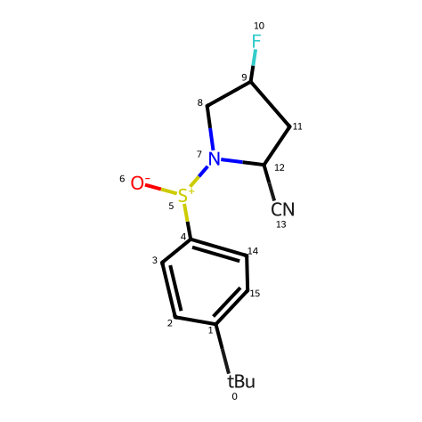 CC(C)(C)c1ccc([S+]([O-])N2CC(F)CC2C#N)cc1